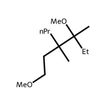 CCCC(C)(CCOC)C(C)(CC)OC